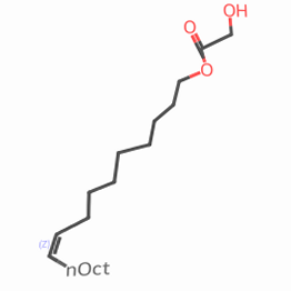 CCCCCCCC/C=C\CCCCCCCCOC(=O)CO